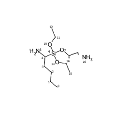 CCCCC(N)[Si](OCC)(OCC)OCC.N